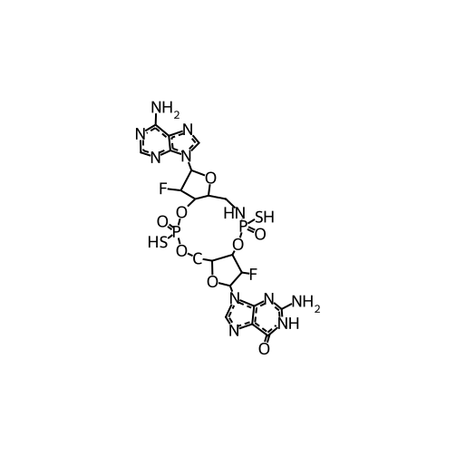 Nc1nc2c(ncn2C2OC3COP(=O)(S)OC4C(CNP(=O)(S)OC3C2F)OC(n2cnc3c(N)ncnc32)C4F)c(=O)[nH]1